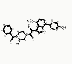 COc1cnc(-c2cnc(O)cn2)c2[nH]cc(C(=O)C(=O)N3CCN(C(=O)c4ccccn4)[C@H](C)C3)c12